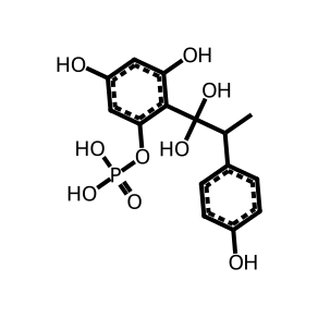 CC(c1ccc(O)cc1)C(O)(O)c1c(O)cc(O)cc1OP(=O)(O)O